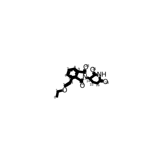 CCO/C=C/c1cccc2c1C(=O)N(C1CCC(=O)NC1=O)C2=O